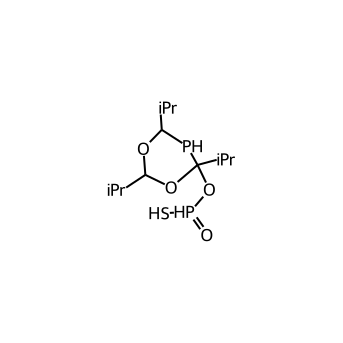 CC(C)C1OC(C(C)C)PC(O[PH](=O)S)(C(C)C)O1